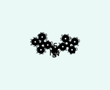 c1ccc(C(=C(c2ccccc2)c2ccc(-c3sc(-c4ccc(C(=C(c5ccccc5)c5ccccc5)c5ccccc5)cc4)c4c3N=S=N4)cc2)c2ccccc2)cc1